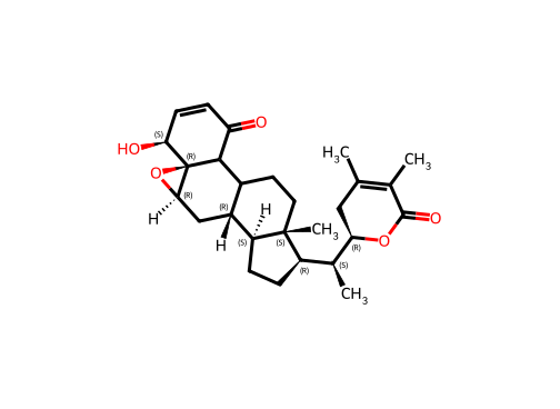 CC1=C(C)C(=O)O[C@@H]([C@@H](C)[C@H]2CC[C@H]3[C@@H]4C[C@H]5O[C@@]56C(C(=O)C=C[C@@H]6O)C4CC[C@]23C)C1